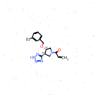 C=CC(=O)N1C[C@@H](OCc2cccc(CC)c2)[C@H](c2nn[nH]n2)C1